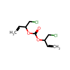 C=CC(CCl)OC(=O)OC(C=C)CCl